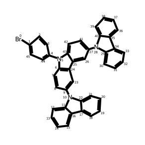 Brc1ccc(-n2c3ccc(-n4c5ccccc5c5ccccc54)cc3c3cc(-n4c5ccccc5c5ccccc54)ccc32)cc1